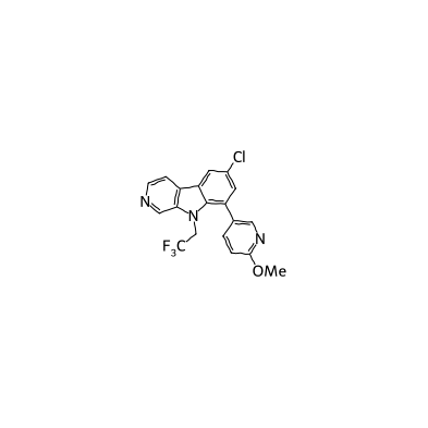 COc1ccc(-c2cc(Cl)cc3c4ccncc4n(CC(F)(F)F)c23)cn1